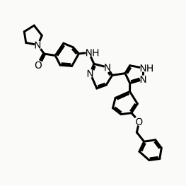 O=C(c1ccc(Nc2nccc(-c3c[nH]nc3-c3cccc(OCc4ccccc4)c3)n2)cc1)N1CCCC1